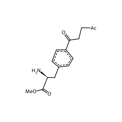 COC(=O)[C@@H](N)Cc1ccc(C(=O)CCC(C)=O)cc1